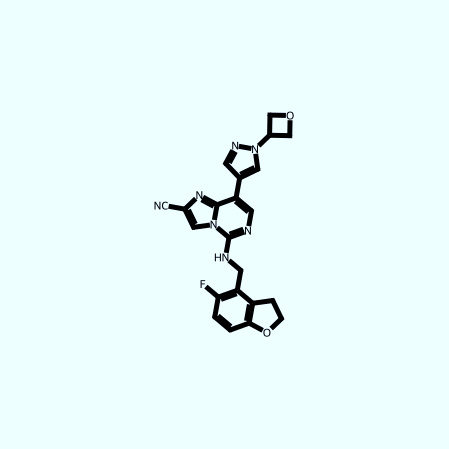 N#Cc1cn2c(NCc3c(F)ccc4c3CCO4)ncc(-c3cnn(C4COC4)c3)c2n1